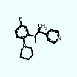 C=C(Nc1cc(F)ccc1N1CCCCC1)c1ccncc1